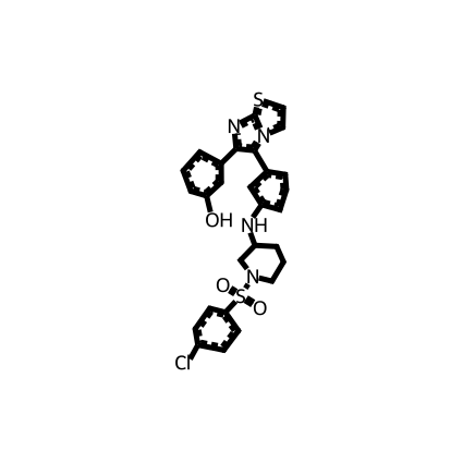 O=S(=O)(c1ccc(Cl)cc1)N1CCCC(Nc2cccc(-c3c(-c4cccc(O)c4)nc4sccn34)c2)C1